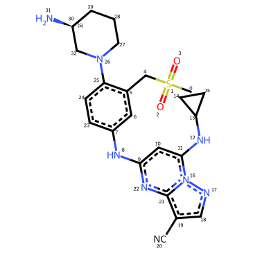 CS(=O)(=O)Cc1cc(Nc2cc(NC3CC3)n3ncc(C#N)c3n2)ccc1N1CCC[C@H](N)C1